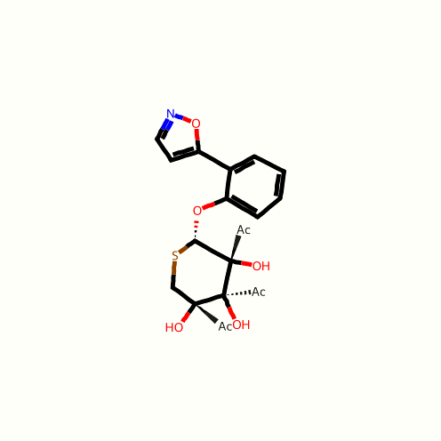 CC(=O)[C@]1(O)[C@@](O)(C(C)=O)CS[C@H](Oc2ccccc2-c2ccno2)[C@@]1(O)C(C)=O